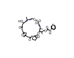 CC1=C\[C@@H](O)CC(=O)Cc2nc(co2)CC(=O)N2CCC[C@@H]2C(=O)O[C@H]([C@H](C)COC(=O)Nc2cccnc2)[C@H](C)/C=C/C(=O)NC\C=C\1